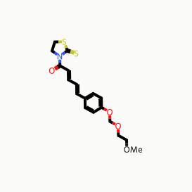 COCCOCOc1ccc(C=CC=CC(=O)N2CCSC2=S)cc1